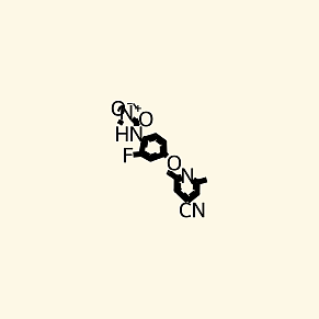 Cc1cc(C#N)cc(COc2ccc(NC(=O)[N+](C)(C)[O-])c(F)c2)n1